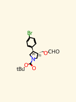 CC(C)(C)OC(=O)N1C[C@@H](COC=O)[C@H](c2ccc(Br)cc2)C1